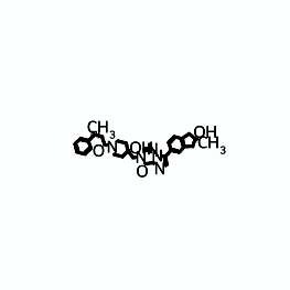 C[C@H](CC(=O)N1CCC(O)(Cn2cnn3c(-c4ccc5c(c4)CC(C)(O)C5)cnc3c2=O)CC1)c1ccccc1